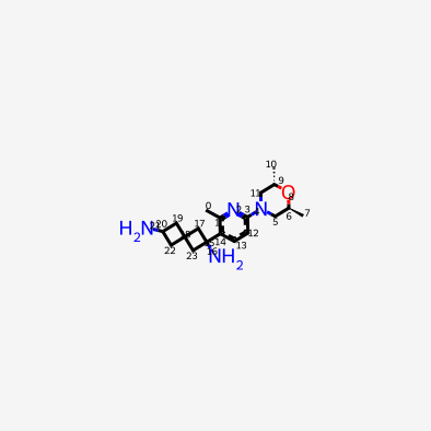 Cc1nc(N2C[C@H](C)O[C@@H](C)C2)ccc1C1(N)CC2(CC(N)C2)C1